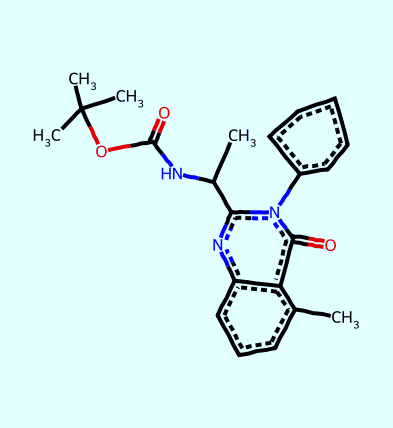 Cc1cccc2nc(C(C)NC(=O)OC(C)(C)C)n(-c3ccccc3)c(=O)c12